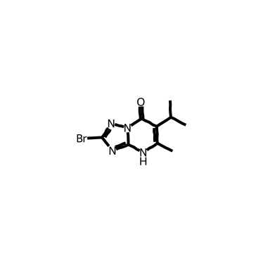 Cc1[nH]c2nc(Br)nn2c(=O)c1C(C)C